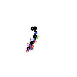 CN(CCc1cccc2ccccc12)Cc1ccc(CNC(=O)c2ccc3c(c2)C(=O)N(C2CCC(=O)NC2=O)C3=O)c(C(F)(F)F)c1